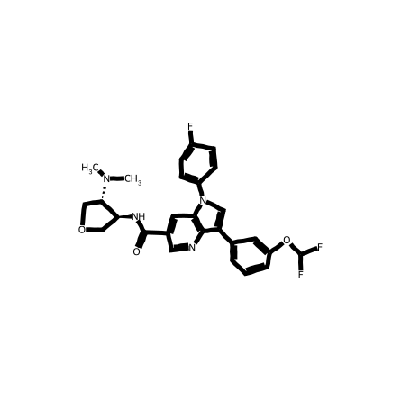 CN(C)[C@H]1COC[C@@H]1NC(=O)c1cnc2c(-c3cccc(OC(F)F)c3)cn(-c3ccc(F)cc3)c2c1